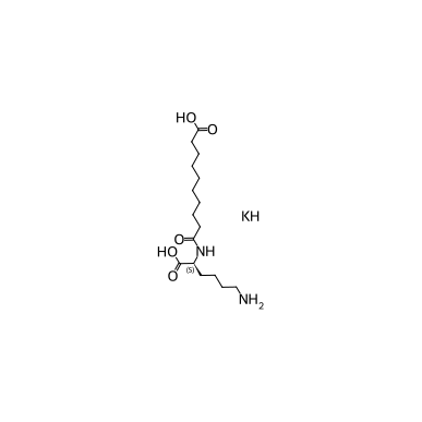 NCCCC[C@H](NC(=O)CCCCCCCCC(=O)O)C(=O)O.[KH]